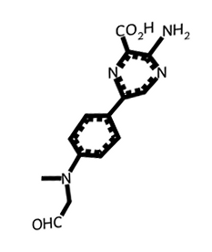 CN(CC=O)c1ccc(-c2cnc(N)c(C(=O)O)n2)cc1